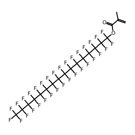 C=C(C)C(=O)OC(F)(F)C(F)(F)C(F)(F)C(F)(F)C(F)(F)C(F)(F)C(F)(F)C(F)(F)C(F)(F)C(F)(F)C(F)(F)C(F)(F)C(F)(F)C(F)(F)C(F)(F)C(F)(F)F